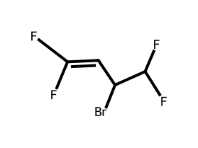 FC(F)=CC(Br)C(F)F